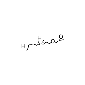 CCC[SiH2]CCCOCC1CO1